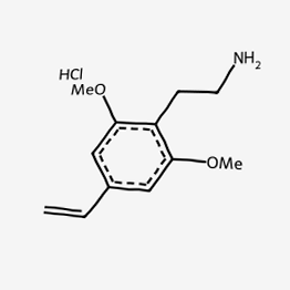 C=Cc1cc(OC)c(CCN)c(OC)c1.Cl